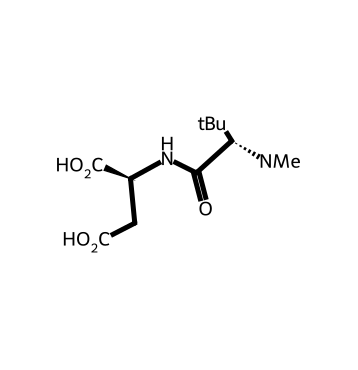 CN[C@H](C(=O)N[C@@H](CC(=O)O)C(=O)O)C(C)(C)C